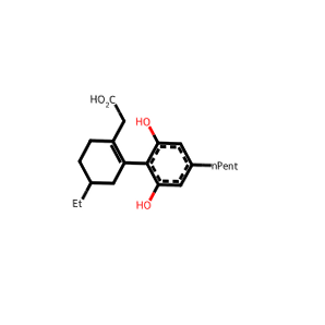 CCCCCc1cc(O)c(C2=C(CC(=O)O)CCC(CC)C2)c(O)c1